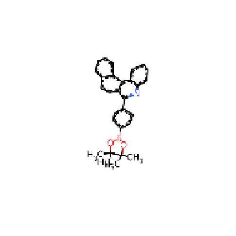 CC1(C)OB(c2ccc(-c3nc4ccccc4c4c3ccc3ccccc34)cc2)OC1(C)C